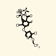 CC(C)(C)[Si](C)(C)N(C(=O)c1cc(Cl)c(Oc2cnc(OCC(F)(F)F)c(Cl)c2)cc1F)S(=N)(=O)C1CC1